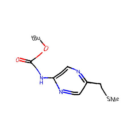 CSCc1cnc(NC(=O)OC(C)(C)C)cn1